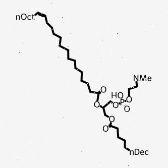 CCCCCCCC/C=C\CCCCCCCCCCCCCC(=O)OC(COC(=O)CCCCCCCCCCCCCC)COP(=O)(O)OCCNC